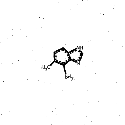 Bc1c(C)ccc2[nH]cnc12